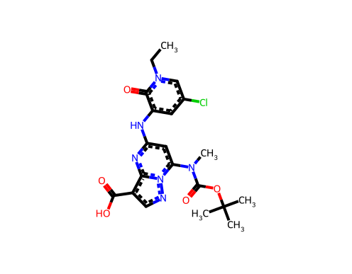 CCn1cc(Cl)cc(Nc2cc(N(C)C(=O)OC(C)(C)C)n3ncc(C(=O)O)c3n2)c1=O